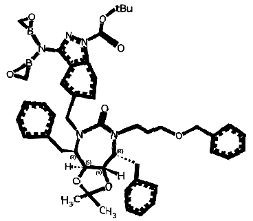 CC(C)(C)OC(=O)n1nc(N(B2CO2)B2CO2)c2cc(CN3C(=O)N(CCCOCc4ccccc4)[C@H](Cc4ccccc4)[C@@H]4OC(C)(C)O[C@H]4[C@H]3Cc3ccccc3)ccc21